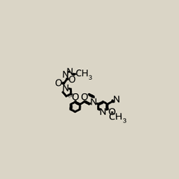 COc1ncc(N2C=COC(C3=C(O[C@H]4CCN(C(=O)c5nnc(C)o5)C4)C=CCC3)=C2)cc1C#N